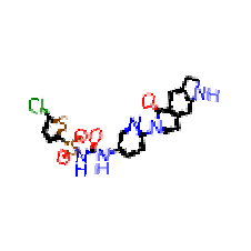 O=C(Nc1ccc(-n2ccc3cc4c(cc3c2=O)CCN4)nc1)NS(=O)(=O)c1ccc(Cl)s1